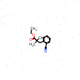 CCOC(=O)C(C)(C)Cc1ccccc1C#N